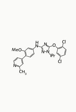 COc1cc(Nc2nc(Oc3cc(Cl)ccc3Cl)n(C(C)C)n2)ccc1-c1ccnc(C)c1